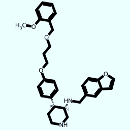 COc1ccccc1COCCCOc1ccc([C@H]2CCNC[C@H]2NCc2ccc3occc3c2)cc1